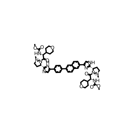 COC(=O)N[C@@H](C(=O)N1[C@H](c2nc(-c3ccc4cc(-c5ccc(-c6cnc([C@@H]7CCN(C)N7C(=O)[C@H](NC(=O)OC)C7CCOCC7)[nH]6)cc5)ccc4c3)c[nH]2)CCN1C)C1CCOCC1